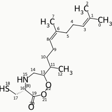 CC(C)=CCCC(C)=CCCC(C)C1CN[C@@H](CS)C(=O)OO1